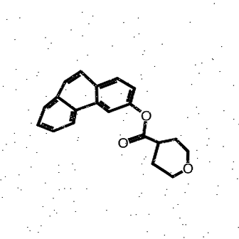 O=C(Oc1ccc2ccc3ccccc3c2c1)C1CCOCC1